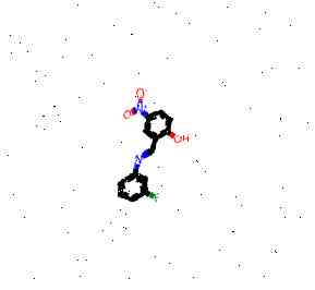 O=[N+]([O-])c1ccc(O)c(/C=N/c2cccc(F)c2)c1